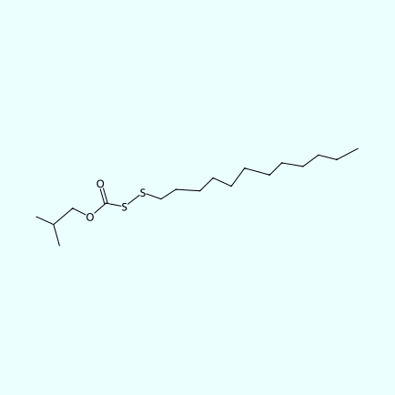 CCCCCCCCCCCCSSC(=O)OCC(C)C